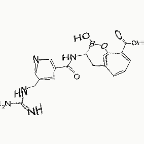 N=C(N)NCc1cncc(C(=O)NC2Cc3cccc(C(=O)O)c3OB2O)c1